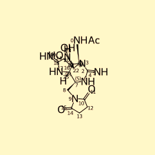 CC(=O)N[C@H]1CN2C(=N)N[C@@H](CN3C(=O)CCC3=O)[C@@H]3NC(=N)N[C@@]32C1(O)O